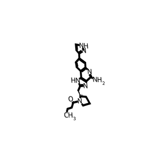 CCCC(=O)N1CCC[C@@H]1Cc1nc2c(N)nc3cc(-c4cc[nH]n4)ccc3c2[nH]1